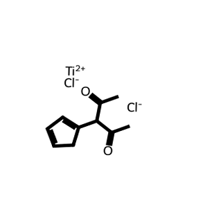 CC(=O)C(C(C)=O)C1=CC=CC1.[Cl-].[Cl-].[Ti+2]